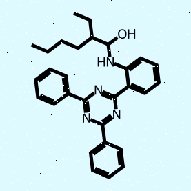 CCCCC(CC)C(O)Nc1ccccc1-c1nc(-c2ccccc2)nc(-c2ccccc2)n1